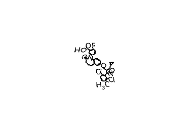 Cc1ccc(Cl)c(-c2noc(C3CC3)c2COc2ccc3c(c2)CCCC(=O)N3c2ccc(F)c(C(=O)O)c2)c1Cl